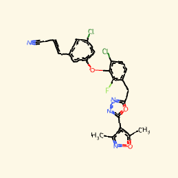 Cc1noc(C)c1-c1nnc(Cc2ccc(Cl)c(Oc3cc(Cl)cc(C=CC#N)c3)c2F)o1